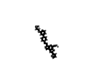 Nc1nc2c(cnn2CCN2CCN(c3cccc(OCCO)c3)CC2)c2nc(-c3ccco3)nn12